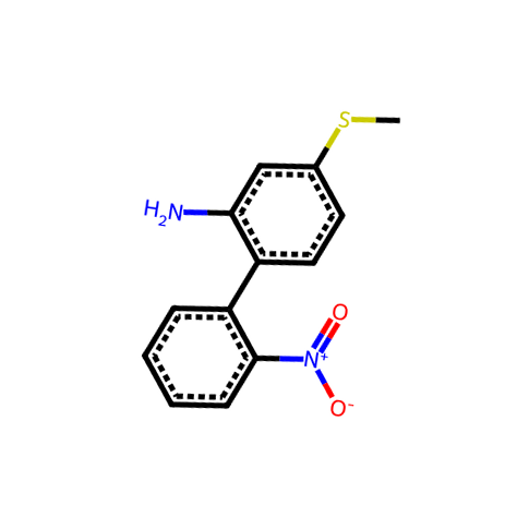 CSc1ccc(-c2ccccc2[N+](=O)[O-])c(N)c1